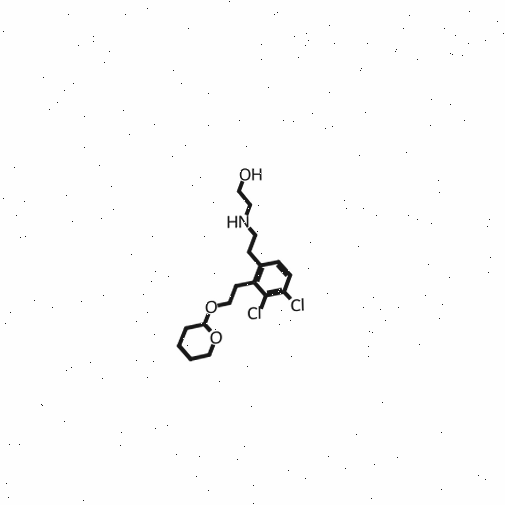 OCCNCCc1ccc(Cl)c(Cl)c1CCOC1CCCCO1